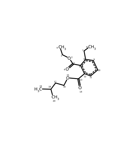 CCOC(=O)c1c(CC)cccc1C(=O)OCCC(C)C